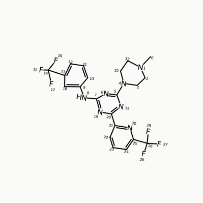 CN1CCN(c2nc(Nc3cccc(C(F)(F)F)c3)nc(-c3cccc(C(F)(F)F)n3)n2)CC1